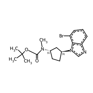 CN(C(=O)OC(C)(C)C)[C@H]1CC[C@H](n2cnc3cccc(Br)c32)C1